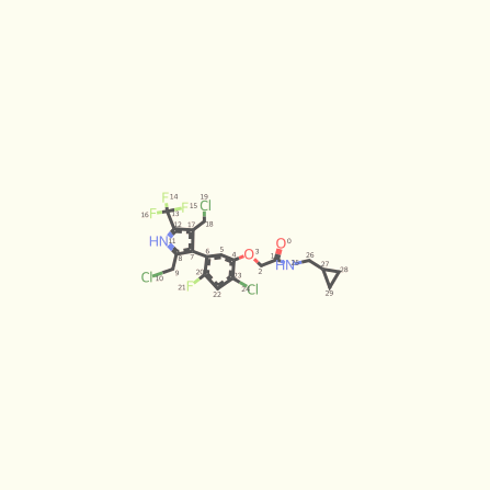 O=C(COc1cc(-c2c(CCl)[nH]c(C(F)(F)F)c2CCl)c(F)cc1Cl)NCC1CC1